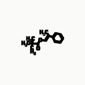 CC(=COC(=O)C(C)(C)C)c1ccccc1